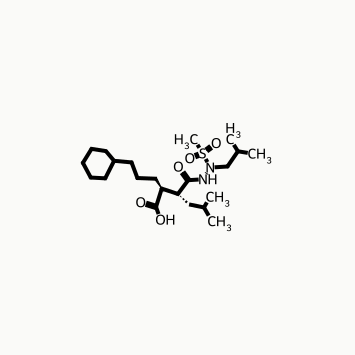 CC(C)C[C@@H](C(=O)NN(CC(C)C)S(C)(=O)=O)[C@H](CCCC1CCCCC1)C(=O)O